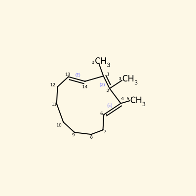 CC1=C(C)/C(C)=[C]/CCCCCC\C=C\1